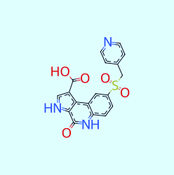 O=C(O)c1c[nH]c2c(=O)[nH]c3ccc(S(=O)(=O)Cc4ccncc4)cc3c12